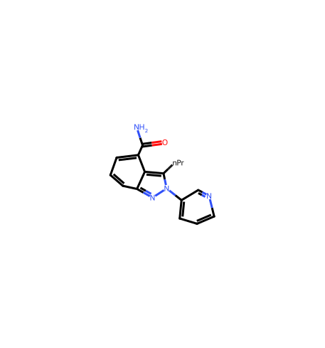 CCCc1c2c(C(N)=O)cccc2nn1-c1cccnc1